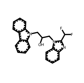 OC(Cn1c(C(F)F)nc2ccccc21)Cn1c2ccccc2c2ccccc21